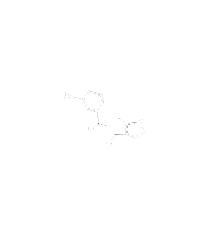 O=C(c1cccc(Br)c1)C1Cc2sccc2C1=O